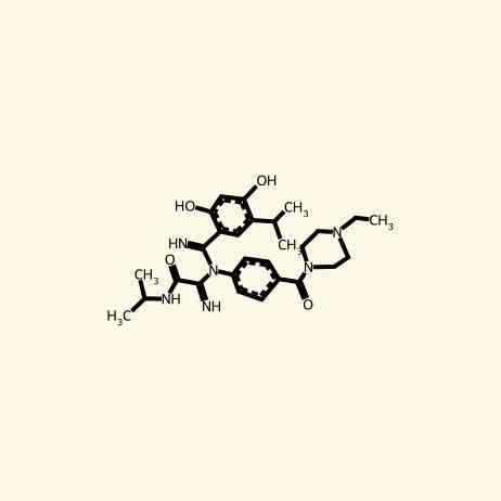 CCN1CCN(C(=O)c2ccc(N(C(=N)C(=O)NC(C)C)C(=N)c3cc(C(C)C)c(O)cc3O)cc2)CC1